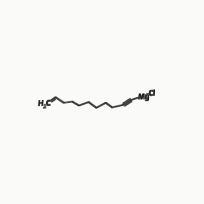 C=CCCCCCCCC#[C][Mg][Cl]